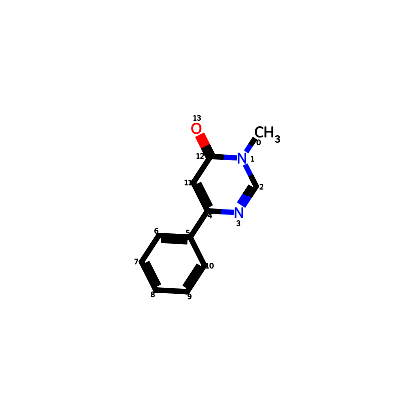 Cn1cnc(-c2ccccc2)cc1=O